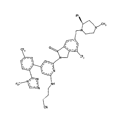 CC(C)[C@H]1CN(C)CCN1Cc1cc2c(c(C(F)(F)F)c1)CN(c1cc(-c3cc(C(F)(F)F)ccc3-c3nncn3C)cc(NCCCC#N)n1)C2=O